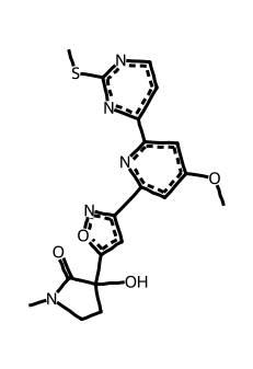 COc1cc(-c2cc(C3(O)CCN(C)C3=O)on2)nc(-c2ccnc(SC)n2)c1